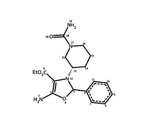 CCOC(=O)C1=C(N)OC(c2ccccc2)N1[C@H]1CCCN(C(N)=O)C1